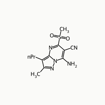 CCCc1c(C)nn2c(N)c(C#N)c(S(C)(=O)=O)nc12